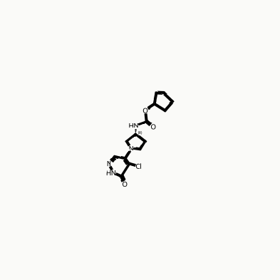 O=C(N[C@@H]1CCN(c2cn[nH]c(=O)c2Cl)C1)OC1CCCC1